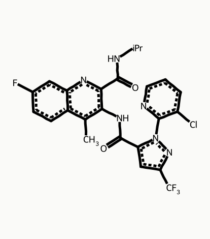 Cc1c(NC(=O)c2cc(C(F)(F)F)nn2-c2ncccc2Cl)c(C(=O)NC(C)C)nc2cc(F)ccc12